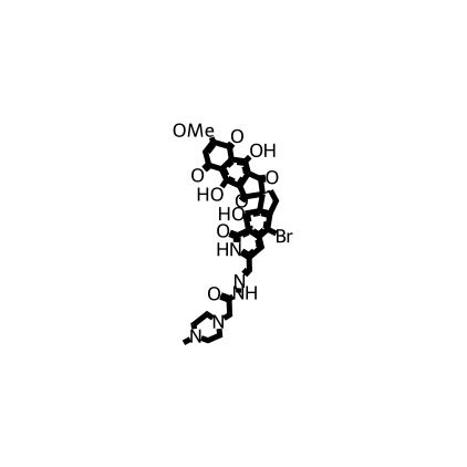 COC1=CC(=O)c2c(O)c3c(c(O)c2C1=O)C(=O)[C@]1(CCc2c1c(O)c1c(=O)[nH]c(/C=N/NC(=O)CN4CCN(C)CC4)cc1c2Br)C3=O